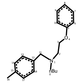 CCCCN(CCOc1ccccc1)Cc1ccc(C)cc1